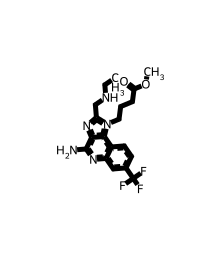 CCNCc1nc2c(N)nc3cc(C(F)(F)F)ccc3c2n1CCCC(=O)OC